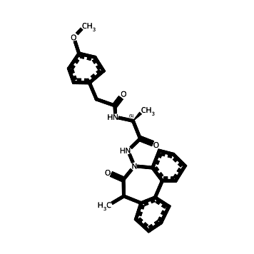 COc1ccc(CC(=O)N[C@@H](C)C(=O)NN2C(=O)C(C)c3ccccc3-c3ccccc32)cc1